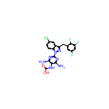 Nc1nc(-n2nc(Cc3cc(F)cc(F)c3F)c3cc(Cl)ccc32)nc(N)c1NC(=O)O